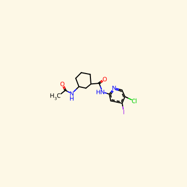 CC(=O)NC1CCCC(C(=O)Nc2cc(I)c(Cl)cn2)C1